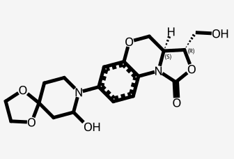 O=C1O[C@@H](CO)[C@@H]2COc3cc(N4CCC5(CC4O)OCCO5)ccc3N12